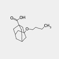 CCCCOC12CC3CC(C1)CC(C(=O)O)(C3)C2